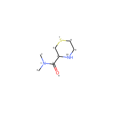 CN(C)C(=O)C1CSCCN1